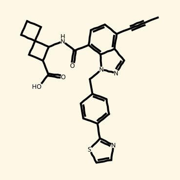 CC#Cc1ccc(C(=O)NC2C(C(=O)O)CC23CCC3)c2c1cnn2Cc1ccc(-c2nccs2)cc1